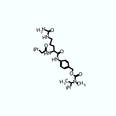 CC(C)CC(=O)NC(CCCNC(N)=O)C(=O)Nc1ccc(COC(=O)N(C)C(C)C(C)C)cc1